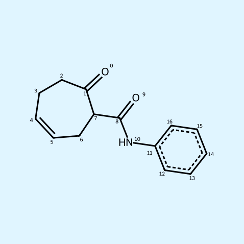 O=C1CCC=CCC1C(=O)Nc1ccccc1